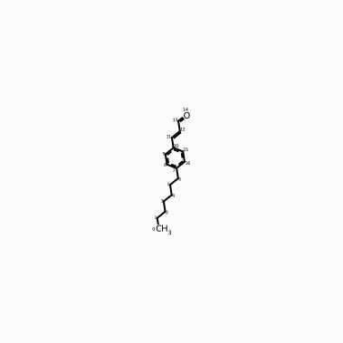 CCCCCCCc1ccc(/C=C/C=O)cc1